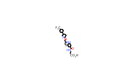 CC(C)C[C@@H](COc1ccc(-c2ccc(C(F)(F)F)cc2)cn1)Nc1ccc(C(=O)NCCC(=O)O)cc1